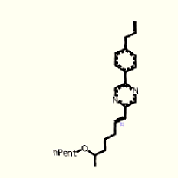 C=CCc1ccc(-c2cnc(/C=C/CCCC(C)OCCCCC)cn2)cc1